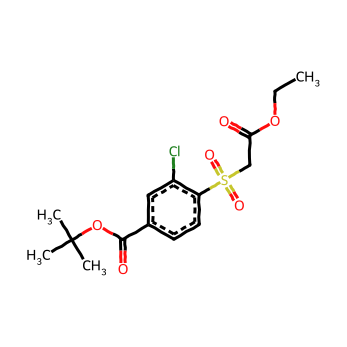 CCOC(=O)CS(=O)(=O)c1ccc(C(=O)OC(C)(C)C)cc1Cl